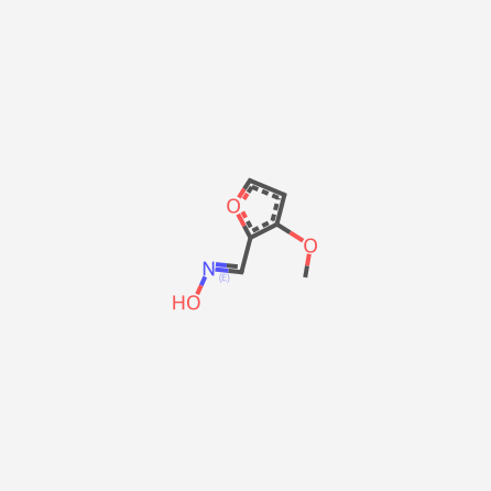 COc1ccoc1/C=N/O